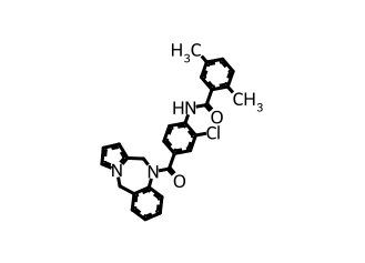 Cc1ccc(C)c(C(=O)Nc2ccc(C(=O)N3Cc4cccn4Cc4ccccc43)cc2Cl)c1